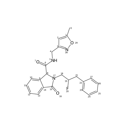 Cc1cc(CNC(=O)C2c3ccccc3C(=O)N2CC(F)Cc2ccccc2)no1